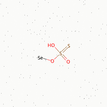 O=S(O)(=S)O[Se]